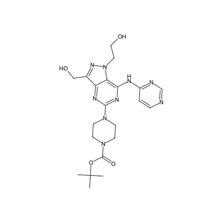 CC(C)(C)OC(=O)N1CCN(c2nc(Nc3ccncn3)c3c(n2)c(CO)nn3CCO)CC1